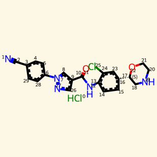 Cl.N#Cc1ccc(-n2cc(C(=O)Nc3ccc([C@H]4CNCCO4)cc3Cl)cn2)cc1